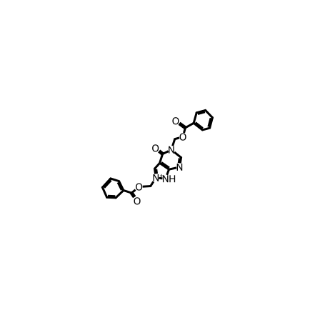 O=C(OCn1cnc2[nH][n+](COC(=O)c3ccccc3)cc2c1=O)c1ccccc1